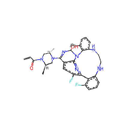 C=CC(=O)N1C[C@H](C)N(C2=NC(O)N3c4nc(c(F)cc42)-c2c(F)cccc2NCCNc2cccc(C(C)C)c23)C[C@H]1C